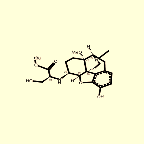 CO[C@@]12CC[C@H](N[C@@H](CO)C(=O)OC(C)(C)C)[C@@H]3Oc4c(O)ccc5c4[C@@]31CCN(C)[C@@H]2C5